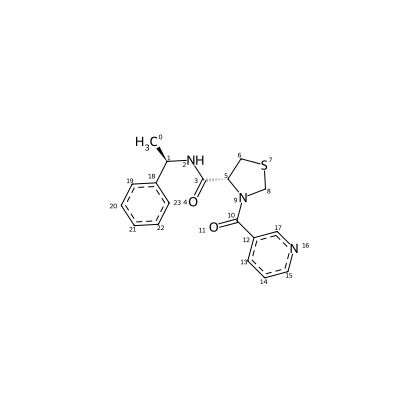 C[C@@H](NC(=O)[C@@H]1CSCN1C(=O)c1cccnc1)c1ccccc1